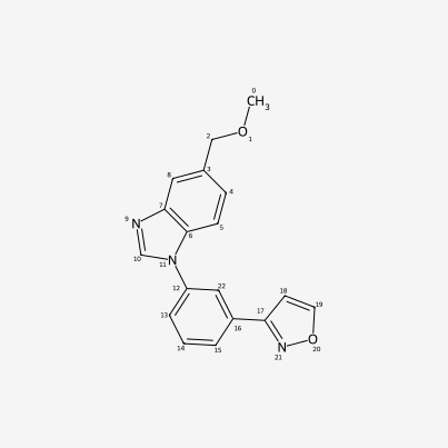 COCc1ccc2c(c1)ncn2-c1cccc(-c2ccon2)c1